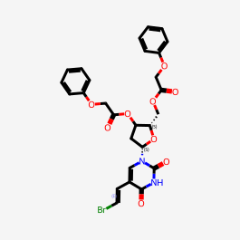 O=C(COc1ccccc1)OC[C@@H]1O[C@H](n2cc(/C=C/Br)c(=O)[nH]c2=O)CC1OC(=O)COc1ccccc1